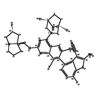 Cc1cc2c(N3C[C@H]4CC[C@@H](C3)N4)nc(OC[C@@]34CCCN3C[C@H](F)C4)nc2c(F)c1-c1ccc(F)c2sc(N)c(C#N)c12